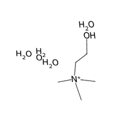 C[N+](C)(C)CCO.O.O.O.O